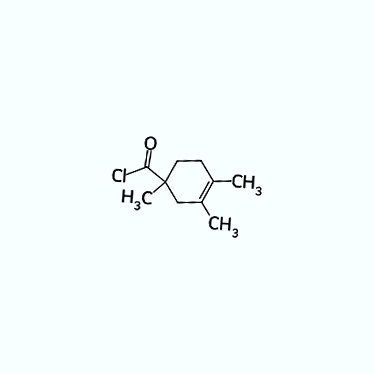 CC1=C(C)CC(C)(C(=O)Cl)CC1